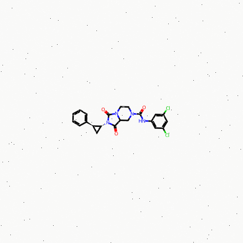 O=C(Nc1cc(Cl)cc(Cl)c1)N1CCN2C(=O)N([C@@H]3C[C@H]3c3ccccc3)C(=O)C2C1